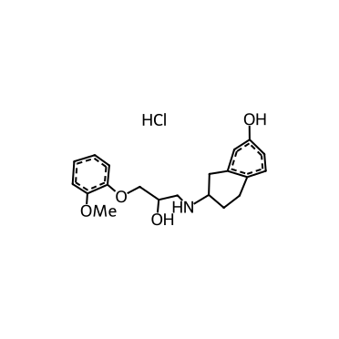 COc1ccccc1OCC(O)CNC1CCc2ccc(O)cc2C1.Cl